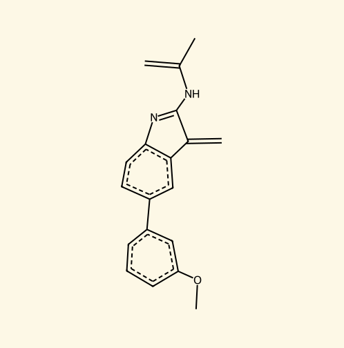 C=C(C)NC1=Nc2ccc(-c3cccc(OC)c3)cc2C1=C